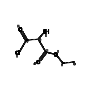 CCOC(=O)C(S)C(=O)Cl